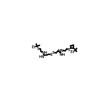 CCC(C)(C)SCCNC(=N)CCSSCCC(=N)NCCSC1CCC1C(C)(C)CC